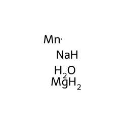 O.[MgH2].[Mn].[NaH]